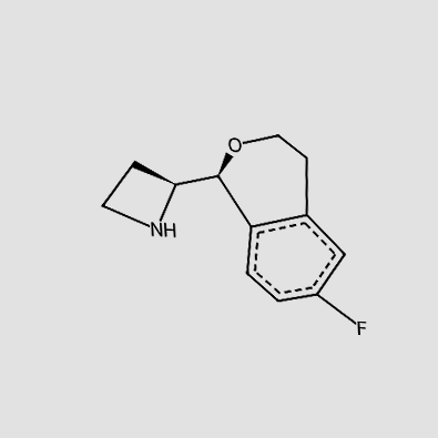 Fc1ccc2c(c1)CCO[C@@H]2[C@@H]1CCN1